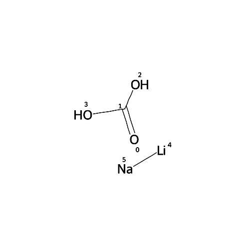 O=C(O)O.[Li][Na]